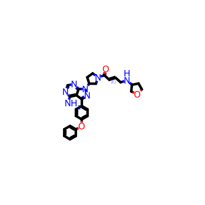 Nc1ncnc2c1c(-c1ccc(Oc3ccccc3)cc1)nn2C1CCN(C(=O)/C=C/CNC2CCOC2)C1